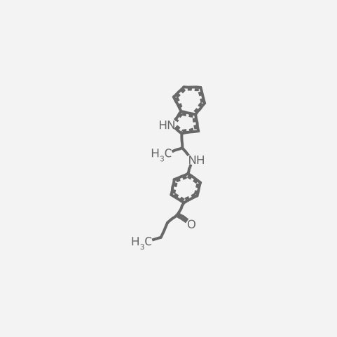 CCCC(=O)c1ccc(NC(C)c2cc3ccccc3[nH]2)cc1